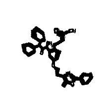 Cc1oc(-c2ccccc2)nc1CCOc1ccc(CCC(=O)O)c(C(N)C(=O)C(c2ccccc2)c2ccccc2)c1